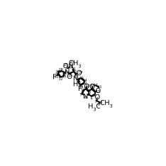 CC(C)COc1cc2nccc(Oc3ccc(NC(=O)c4cn(C)c(=O)n(-c5ccc(F)cc5)c4=O)cc3F)c2c2c1OCCO2